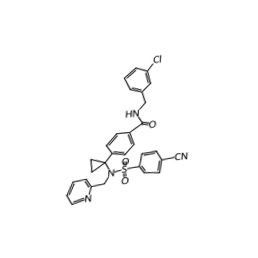 N#Cc1ccc(S(=O)(=O)N(Cc2ccccn2)C2(c3ccc(C(=O)NCc4cccc(Cl)c4)cc3)CC2)cc1